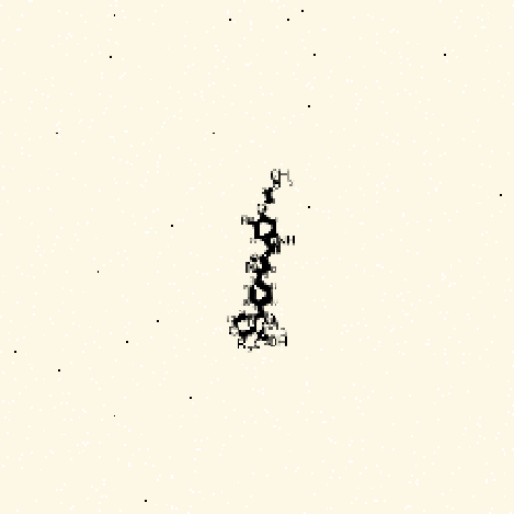 COCCOc1cc2[nH]nc(-c3cc(-c4ccc(C(=O)N5CCOC[C@@H]5C(C)(C)O)cc4)no3)c2cc1F